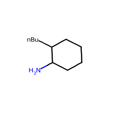 CCCCC1CCCCC1N